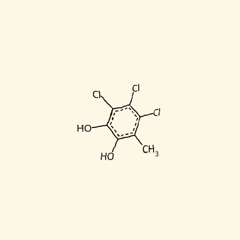 Cc1c(O)c(O)c(Cl)c(Cl)c1Cl